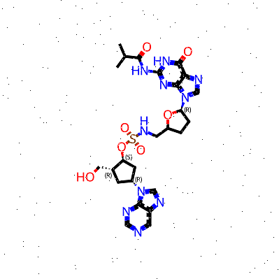 CC(C)C(=O)Nc1nc2c(ncn2[C@H]2CCC(CNS(=O)(=O)O[C@H]3C[C@H](n4cnc5cncnc54)C[C@@H]3CO)O2)c(=O)[nH]1